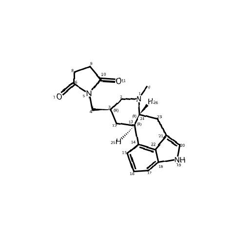 CN1C[C@H](CN2C(=O)CCC2=O)C[C@@H]2c3cccc4[nH]cc(c34)C[C@H]21